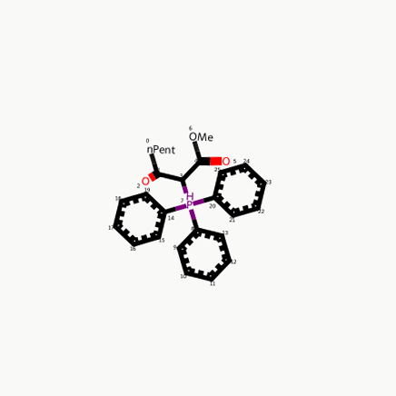 CCCCCC(=O)C(C(=O)OC)[PH](c1ccccc1)(c1ccccc1)c1ccccc1